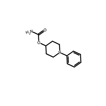 NC(=O)OC1CCN(c2ccccc2)CC1